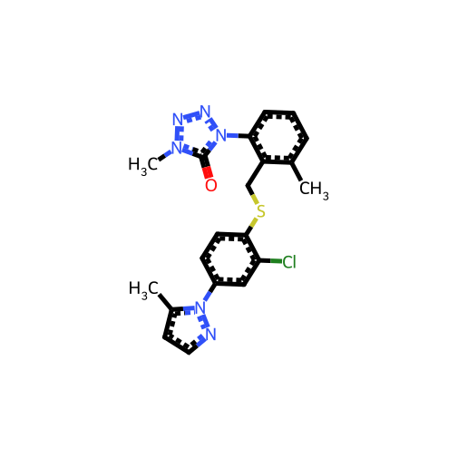 Cc1cccc(-n2nnn(C)c2=O)c1CSc1ccc(-n2nccc2C)cc1Cl